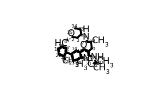 C#C[C@H]1C[C@@H](NC(=O)[C@H](C)Cc2cc3cc(-c4ccccc4C)ccc3nc2NC(C)(C)C)CCO1